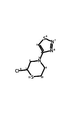 ClC1CN(c2csnn2)CCS1